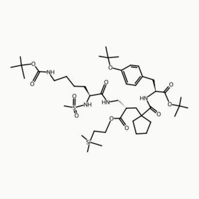 CC(C)(C)OC(=O)NCCCC[C@H](NS(C)(=O)=O)C(=O)NC[C@H](CC1(C(=O)N[C@@H](Cc2ccc(OC(C)(C)C)cc2)C(=O)OC(C)(C)C)CCCC1)C(=O)OCC[Si](C)(C)C